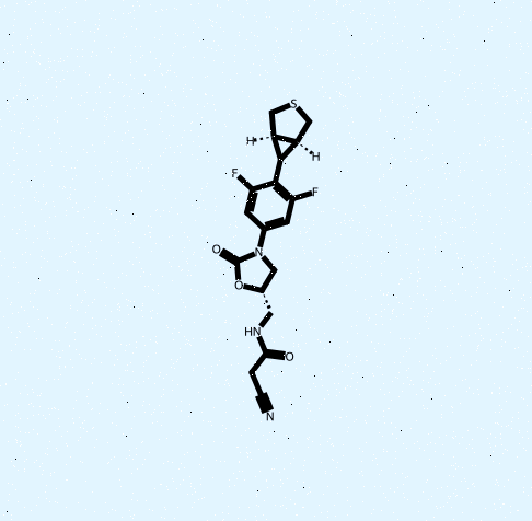 N#CCC(=O)NC[C@H]1CN(c2cc(F)c(C3[C@H]4CSC[C@@H]34)c(F)c2)C(=O)O1